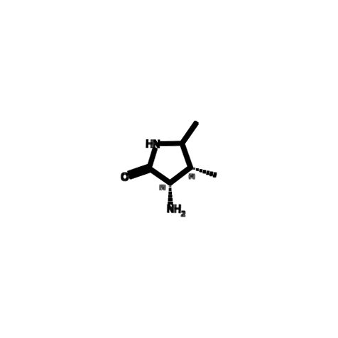 CC1NC(=O)[C@@H](N)[C@H]1C